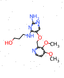 COc1ccnc(COc2cnc(N)nc2NCCCO)c1OC